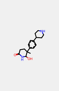 CC1(c2ccc(C3CCNCC3)cc2)CCC(=O)NC1O